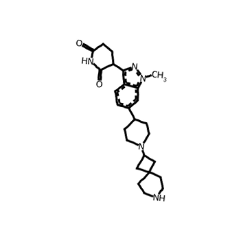 Cn1nc(C2CCC(=O)NC2=O)c2ccc(C3CCN(C4CC5(CCNCC5)C4)CC3)cc21